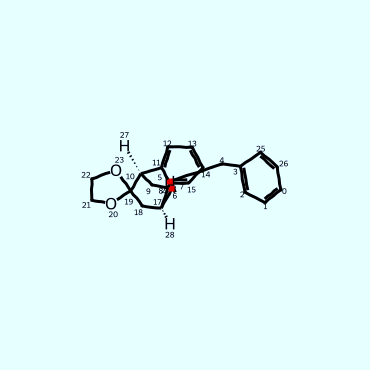 c1ccc(CN2CC[C@]3(C[C@@H]4c5ccccc5[C@H]3CC43OCCO3)C2)cc1